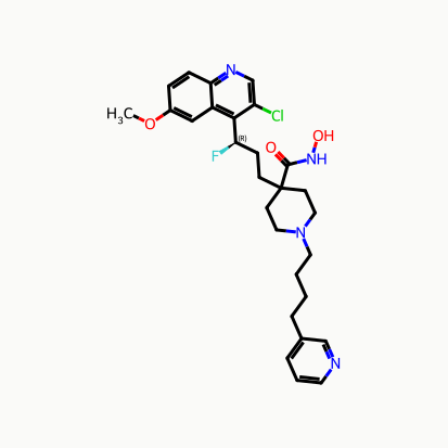 COc1ccc2ncc(Cl)c([C@H](F)CCC3(C(=O)NO)CCN(CCCCc4cccnc4)CC3)c2c1